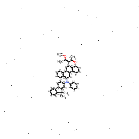 CO/C(C)=C(\C(C)=O)c1cc2c3ccccc3c(N(c3ccccc3)c3ccc4c(c3)C(C)(C)c3ccccc3-4)cc2c2ccccc12